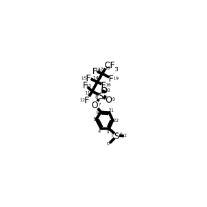 C[S+](C)c1ccc(OS(=O)(=O)C(F)(F)C(F)(F)C(F)(F)C(F)(F)F)cc1